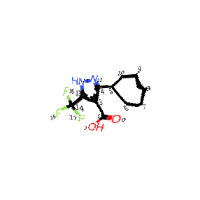 O=C(O)c1c(C2CCCCC2)n[nH]c1C(F)(F)F